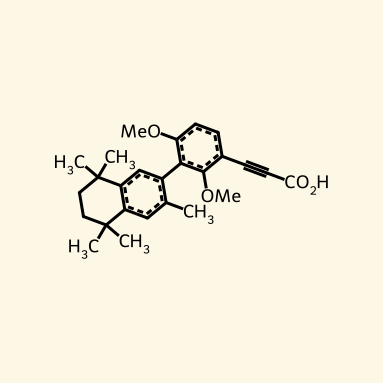 COc1ccc(C#CC(=O)O)c(OC)c1-c1cc2c(cc1C)C(C)(C)CCC2(C)C